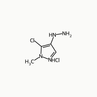 Cl.Cn1ncc(NN)c1Cl